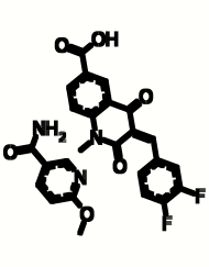 CN1C(=O)/C(=C\c2ccc(F)c(F)c2)C(=O)c2cc(C(=O)O)ccc21.COc1ccc(C(N)=O)cn1